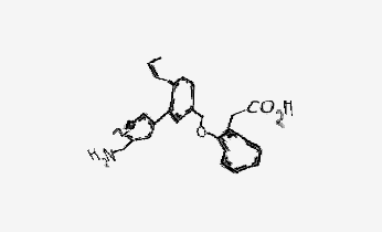 C/C=C\c1ccc(COc2ccccc2CC(=O)O)cc1-c1ccnc(CN)c1